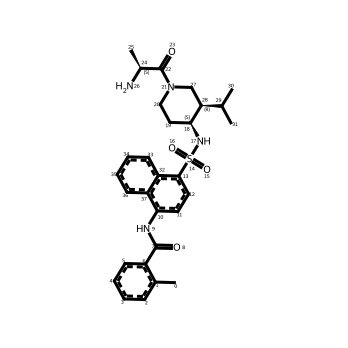 Cc1ccccc1C(=O)Nc1ccc(S(=O)(=O)N[C@H]2CCN(C(=O)[C@H](C)N)C[C@H]2C(C)C)c2ccccc12